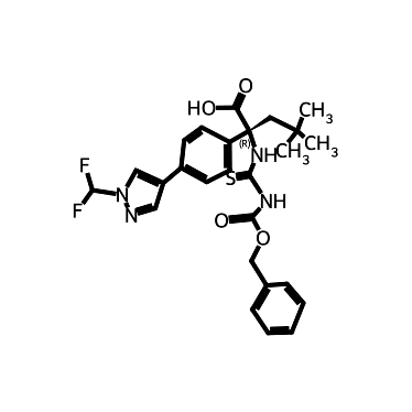 CC(C)(C)C[C@](NC(=S)NC(=O)OCc1ccccc1)(C(=O)O)c1ccc(-c2cnn(C(F)F)c2)cc1